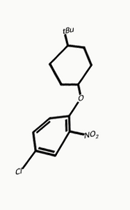 CC(C)(C)[C]1CCC(Oc2ccc(Cl)cc2[N+](=O)[O-])CC1